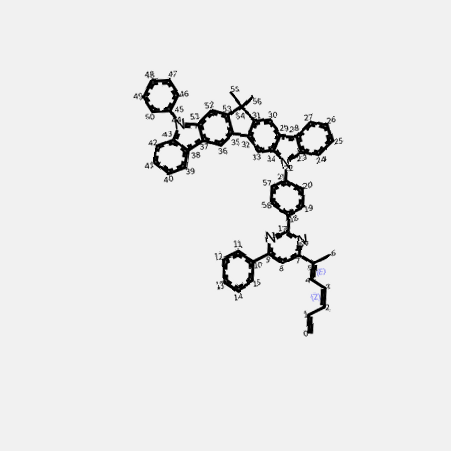 C=C/C=C\C=C(/C)c1cc(-c2ccccc2)nc(-c2ccc(-n3c4ccccc4c4cc5c(cc43)-c3cc4c6ccccc6n(-c6ccccc6)c4cc3C5(C)C)cc2)n1